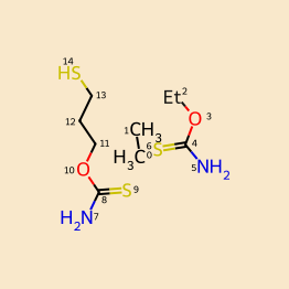 CC.CCOC(N)=S.NC(=S)OCCCS